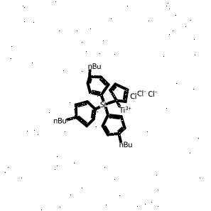 CCCCc1ccc([Si](c2ccc(CCCC)cc2)(c2ccc(CCCC)cc2)[C]2([Ti+3])C=CC=C2)cc1.[Cl-].[Cl-].[Cl-]